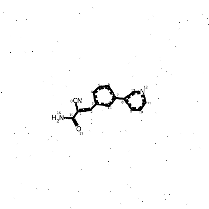 N#C/C(=C\c1cccc(-c2cccnc2)c1)C(N)=O